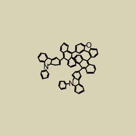 C1=C(c2c3ccccc3c(-c3ccc4oc5cccc(-c6c7ccccc7c(-c7ccc8c(c7)c7ccccc7n8-c7ccccc7)c7ccccc67)c5c4c3)c3ccccc23)C=C2c3ccccc3N(c3ccccc3)C2C1